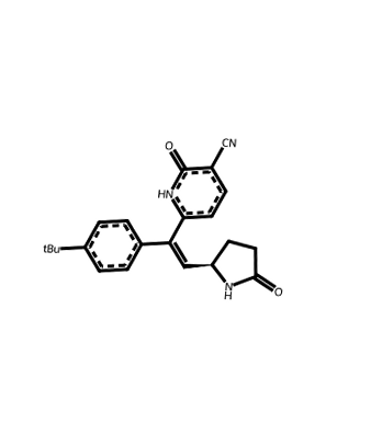 CC(C)(C)c1ccc(C(=C[C@H]2CCC(=O)N2)c2ccc(C#N)c(=O)[nH]2)cc1